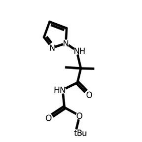 CC(C)(C)OC(=O)NC(=O)C(C)(C)Nn1cccn1